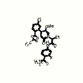 CCC(C(=O)Nc1ccc(C(N)=O)c(F)c1)n1cc(OC)c(-c2cc(Cl)ccc2-c2nnc(C(F)(F)F)o2)cc1=O